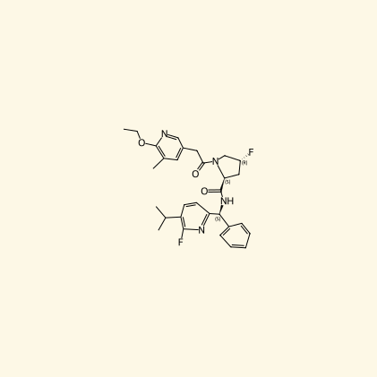 CCOc1ncc(CC(=O)N2C[C@H](F)C[C@H]2C(=O)N[C@@H](c2ccccc2)c2ccc(C(C)C)c(F)n2)cc1C